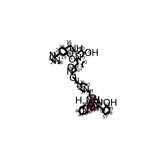 CC(C)[C@@H](C(=O)N1C[C@H](O)C[C@H]1C(=O)N[C@@H](C)c1ccc(-c2nccn2C)cc1)c1cc(OCCN2CCN(CCOc3cc(N4C5CCC4CN(c4cc(-c6ccccc6O)nnc4N)C5)ccn3)CC2)no1